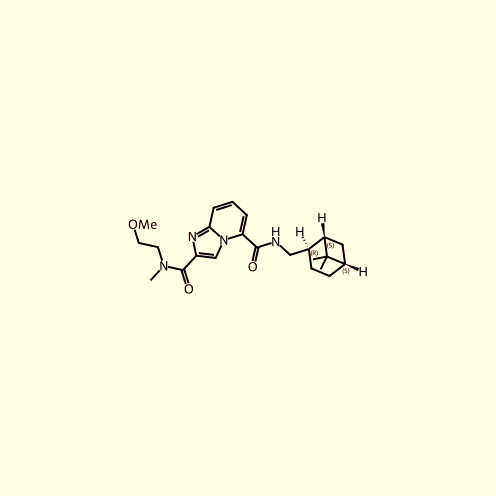 COCCN(C)C(=O)c1cn2c(C(=O)NC[C@@H]3CC[C@H]4C[C@@H]3C4(C)C)cccc2n1